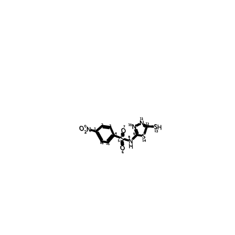 O=[N+]([O-])c1ccc(S(=O)(=O)Nc2nnc(S)s2)cc1